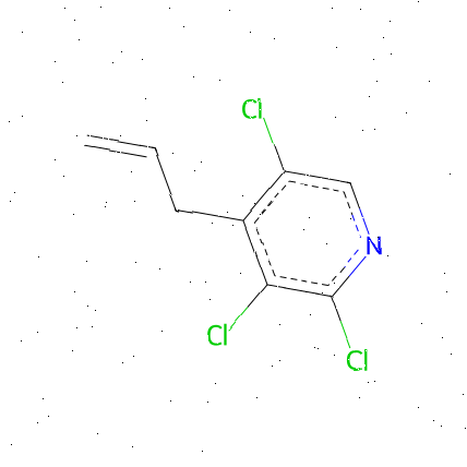 C=CCc1c(Cl)cnc(Cl)c1Cl